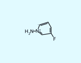 N[n+]1[c]ccc(F)c1